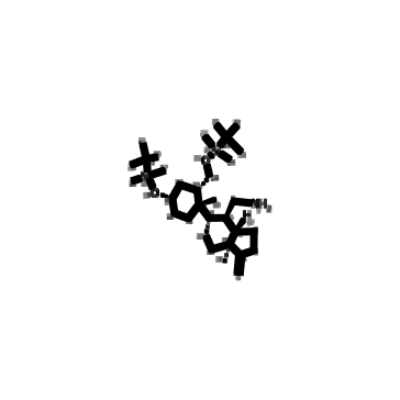 C=C1CC[C@H]2[C@H](CN)[C@@H]([C@]3(C)CC[C@H](O[Si](C)(C)C(C)(C)C)C[C@@H]3CO[Si](C)(C)C(C)(C)C)CC[C@]12C